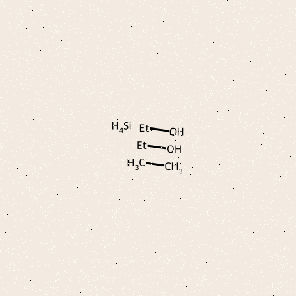 CC.CCO.CCO.[SiH4]